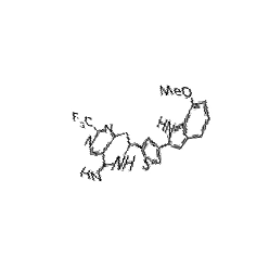 COc1cccc2cc(-c3csc([C@@H]4Cc5nc(C(F)(F)F)ncc5C(=N)N4)c3)[nH]c12